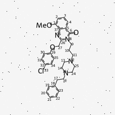 COc1cccc2c(=O)n(CCCN3CCN(CCc4ccccc4)CC3)c(COc3ccc(Cl)cc3)nc12